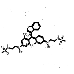 CCN(CCNS(C)(=O)=O)c1ccc(/C(=C2C=C/C(=[N+](/CC)CCNS(C)(=O)=O)C=C/2C(=O)O)c2coc3ccccc23)c(C(=O)O)c1